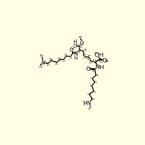 CNCCCCCCCC(=O)NC(CSSCC(NC(=O)CCCCCCCN(C)C)C(O)OC)C(=O)O